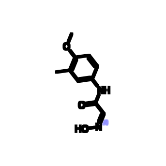 COc1ccc(NC(=O)/C=N\O)cc1C